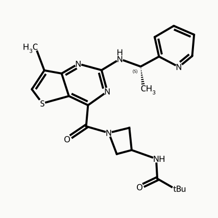 Cc1csc2c(C(=O)N3CC(NC(=O)C(C)(C)C)C3)nc(N[C@@H](C)c3ccccn3)nc12